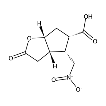 O=C1C[C@H]2[C@@H](C[N+](=O)[O-])[C@@H](C(=O)O)C[C@H]2O1